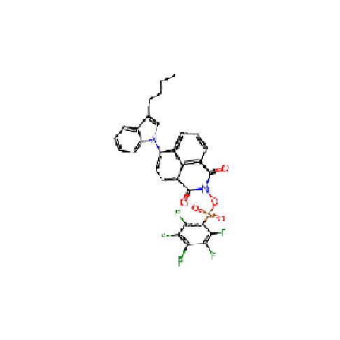 CCCCc1cn(-c2ccc3c4c(cccc24)C(=O)N(OS(=O)(=O)c2c(F)c(F)c(F)c(F)c2F)C3=O)c2ccccc12